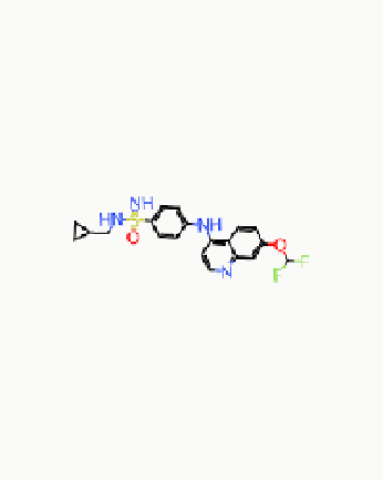 N=S(=O)(NCC1CC1)c1ccc(Nc2ccnc3cc(OC(F)F)ccc23)cc1